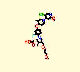 COCCCOCC1CN(c2ccc(OC3CCN(c4cc(OC)ncc4Cl)CC3C)cc2F)[C@@H](CC(=O)O)[C@@H]1C